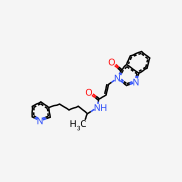 CC(CCCc1cccnc1)NC(=O)C=Cn1cnc2ccccc2c1=O